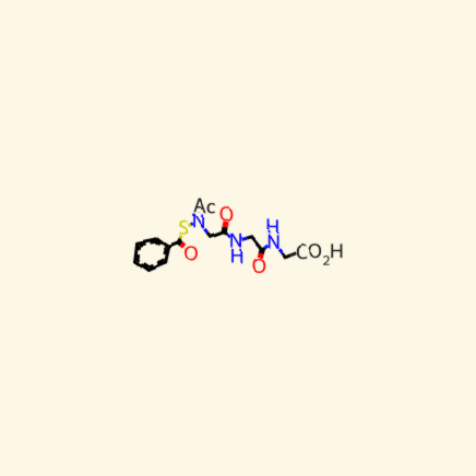 CC(=O)N(CC(=O)NCC(=O)NCC(=O)O)SC(=O)c1ccccc1